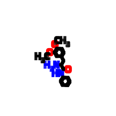 COc1ccc(CC(N)C(=O)Nc2ccccc2)cc1OC